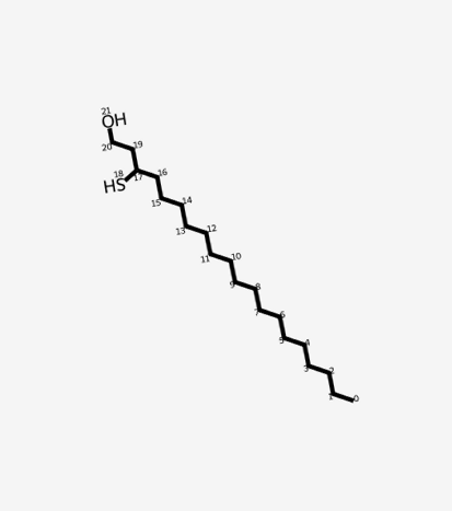 CCCCCCCCCCCCCCCCCC(S)CCO